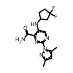 Cc1cc(C)n(-c2ncc(NC3CCC(F)(F)C3)c(C(N)=O)n2)n1